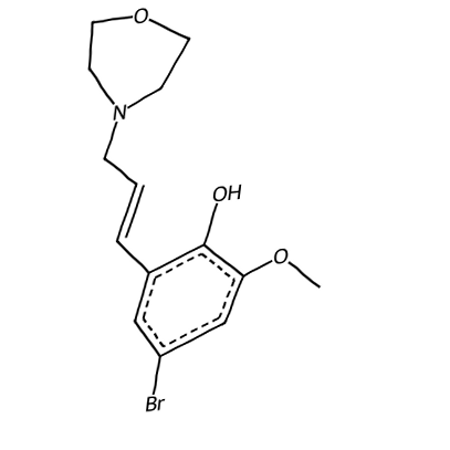 COc1cc(Br)cc(C=CCN2CCOCC2)c1O